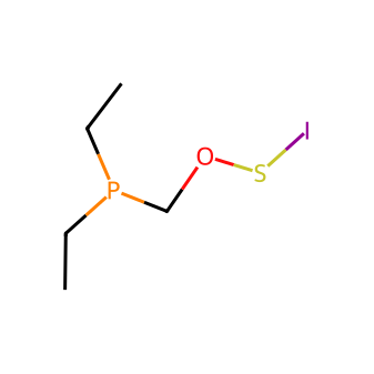 CCP(CC)COSI